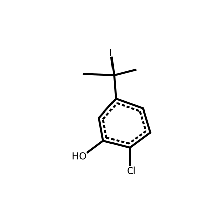 CC(C)(I)c1ccc(Cl)c(O)c1